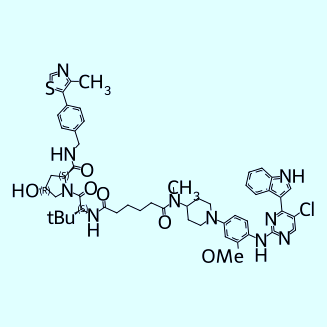 COc1cc(N2CCC(N(C)C(=O)CCCCC(=O)N[C@H](C(=O)N3C[C@H](O)C[C@H]3C(=O)NCc3ccc(-c4scnc4C)cc3)C(C)(C)C)CC2)ccc1Nc1ncc(Cl)c(-c2c[nH]c3ccccc23)n1